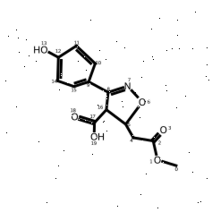 COC(=O)CC1ON=C(c2ccc(O)cc2)C1C(=O)O